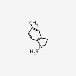 BN1CCc2cc(C)ccc21